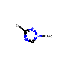 CCc1ncn(OC(C)=O)n1